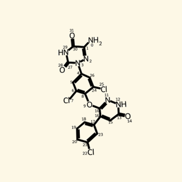 Nc1nn(-c2cc(Cl)c(Oc3n[nH]c(=O)cc3-c3cccc(Cl)c3)c(Cl)c2)c(=O)[nH]c1=O